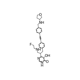 O=c1[nH]cnc(C(CNCCF)Cc2ccc(C#Cc3ccc(CNC4CCOC4)cc3)cc2)c1O